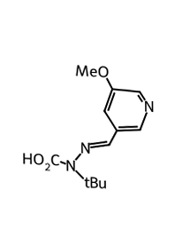 COc1cncc(C=NN(C(=O)O)C(C)(C)C)c1